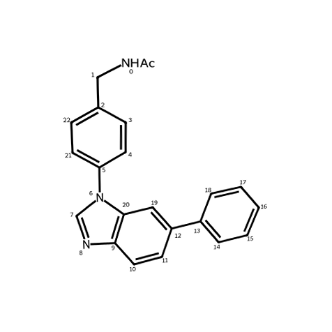 CC(=O)NCc1ccc(-n2cnc3ccc(-c4ccccc4)cc32)cc1